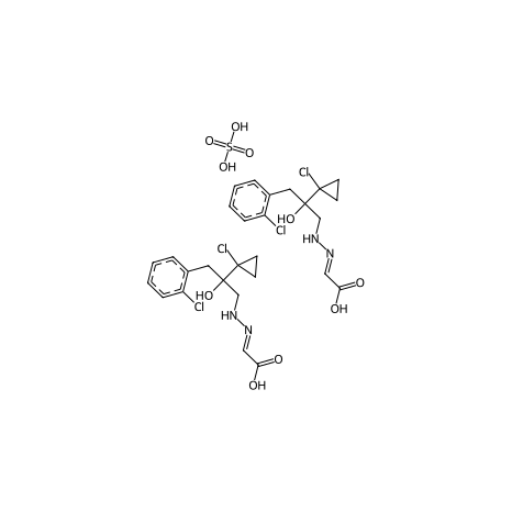 O=C(O)C=NNCC(O)(Cc1ccccc1Cl)C1(Cl)CC1.O=C(O)C=NNCC(O)(Cc1ccccc1Cl)C1(Cl)CC1.O=S(=O)(O)O